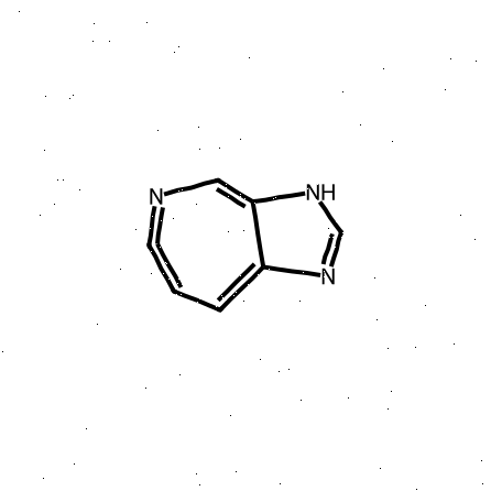 C1=CC=c2nc[nH]c2=CN=1